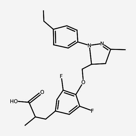 CCc1ccc(N2N=C(C)CC2COc2c(F)cc(CC(C)C(=O)O)cc2F)cc1